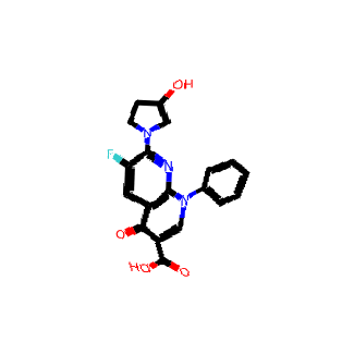 O=C(O)c1cn(-c2ccccc2)c2nc(N3CCC(O)C3)c(F)cc2c1=O